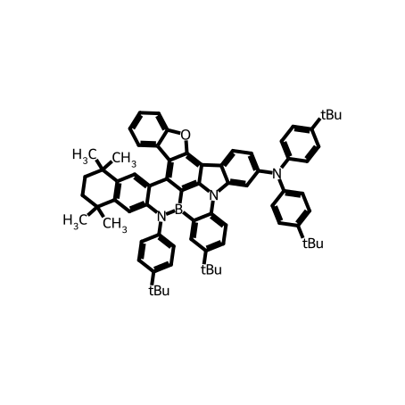 CC(C)(C)c1ccc(N2B3c4cc(C(C)(C)C)ccc4-n4c5cc(N(c6ccc(C(C)(C)C)cc6)c6ccc(C(C)(C)C)cc6)ccc5c5c6oc7ccccc7c6c(c3c54)-c3cc4c(cc32)C(C)(C)CCC4(C)C)cc1